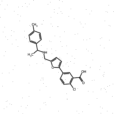 Cc1ccc(C(C)NCc2ccc(-c3ccc(Cl)c(C(=O)O)c3)o2)cc1